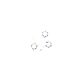 CC(=O)N(Cc1cc(C)ccc1OCCF)c1cccnc1Oc1ccc(I)cc1